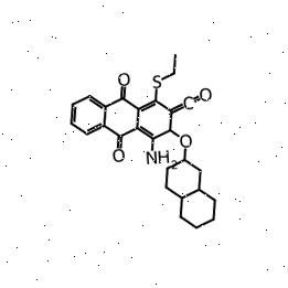 CCSC1=C2C(=O)c3ccccc3C(=O)C2=C(N)C(OC2CCC3CCCCC3C2)C1=C=O